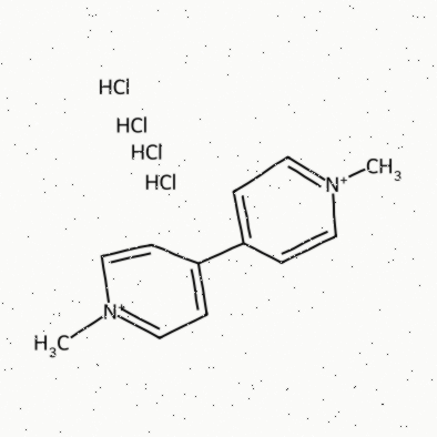 C[n+]1ccc(-c2cc[n+](C)cc2)cc1.Cl.Cl.Cl.Cl